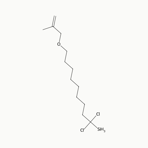 C=C(C)COCCCCCCCCC([SiH3])(Cl)Cl